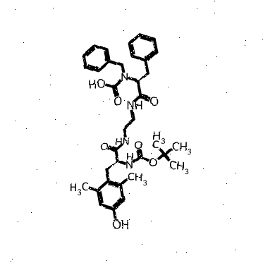 Cc1cc(O)cc(C)c1C[C@H](NC(=O)OC(C)(C)C)C(=O)NCCNC(=O)[C@H](Cc1ccccc1)N(Cc1ccccc1)C(=O)O